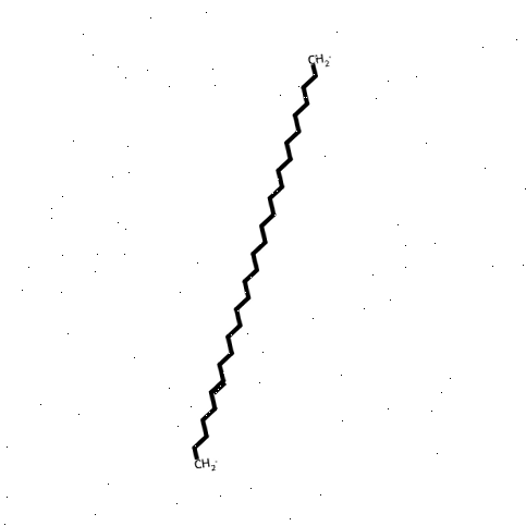 [CH2]CCCC/C=C/CCCCCCCCCCCCCCCCCCCCCC[CH2]